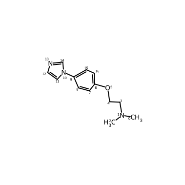 CN(C)CCOc1ccc(-n2ccnc2)cc1